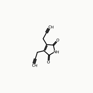 C#CCC1=C(CC#C)C(=O)NC1=O